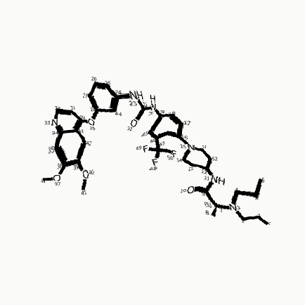 CCCN(CCC)[C@@H](C)C(=O)NC1CCN(c2ccc(NC(=O)Nc3cccc(Oc4ccnc5cc(OC)c(OC)cc45)c3)cc2C(F)(F)F)CC1